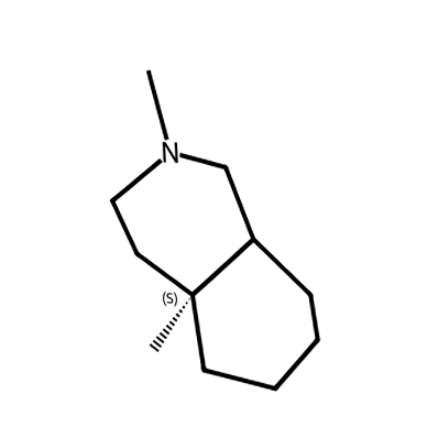 CN1CC[C@]2(C)CCCCC2C1